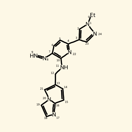 CCn1cc(-c2ccc(N=N)c(NCc3ccc4nccn4c3)n2)cn1